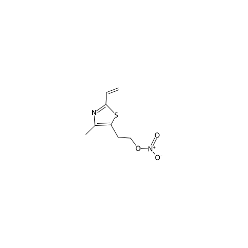 C=Cc1nc(C)c(CCO[N+](=O)[O-])s1